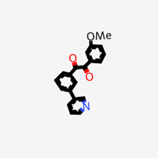 COc1cccc(C(=O)C(=O)c2cccc(-c3cccnc3)c2)c1